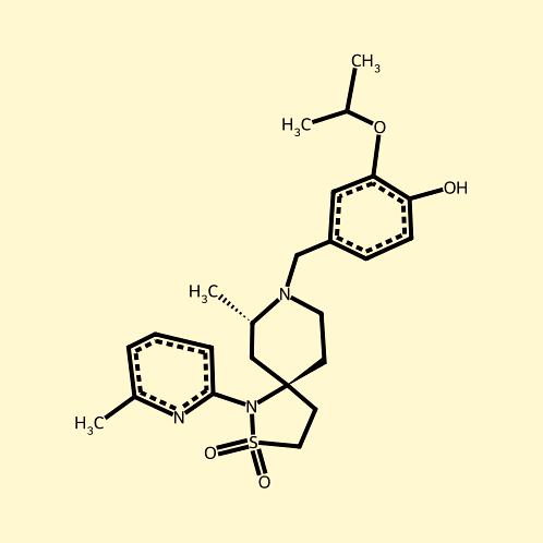 Cc1cccc(N2[C@@]3(CCN(Cc4ccc(O)c(OC(C)C)c4)[C@@H](C)C3)CCS2(=O)=O)n1